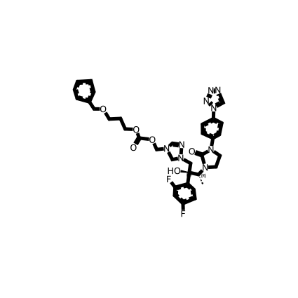 C[C@@H](N1CCN(c2ccc(-n3cnnn3)cc2)C1=O)[C@@](O)(CN1CN(COC(=O)OCCCOCc2ccccc2)C=N1)c1ccc(F)cc1F